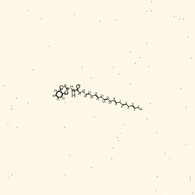 CCC=CCC=CCC=CCC=CCC=CCC=CCCC(=O)NC[C@H]1COc2ccccc2O1